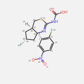 O=C(O)NC1=N[C@@]2(c3cc([N+](=O)[O-])ccc3F)C[C@H](F)C[C@H]2CS1